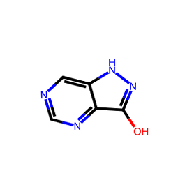 Oc1n[nH]c2cncnc12